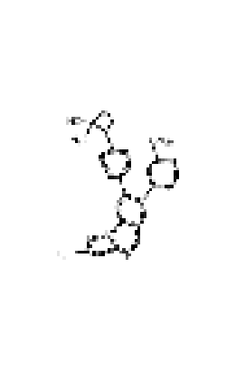 COc1cccc(-c2cc3cnc4cc(C)nn4c3nc2-c2ccc(C3CCC3(C)O)cc2)c1